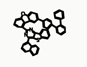 c1ccc(-c2ccccc2-c2ccc(-c3ccc4oc5cccc(-c6nc(-c7cccc8ccccc78)c7sc8ccccc8c7n6)c5c4c3)cc2)cc1